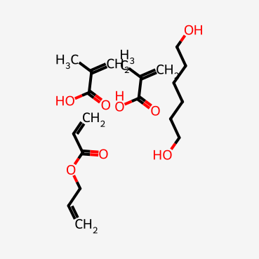 C=C(C)C(=O)O.C=C(C)C(=O)O.C=CCOC(=O)C=C.OCCCCCCO